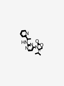 CC(Nc1nccc(N2C(=O)OC[C@@H]2C(C)C)n1)c1ccccn1